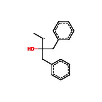 C[CH]C(O)(Cc1ccccc1)Cc1ccccc1